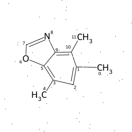 Cc1cc(C)c2ocnc2c1C